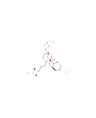 CC1C=C2CC(CCCS(=O)(=O)O)CC(C1)C2C1CCCCC1CCCS(=O)(=O)O